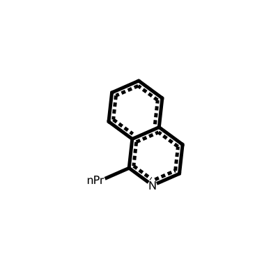 CCCc1nccc2ccccc12